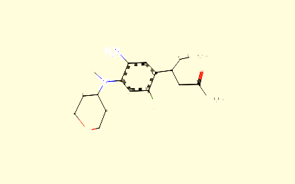 CCN(c1cc(F)c(C(COC)CC(=O)OC)cc1N)C1CCOCC1